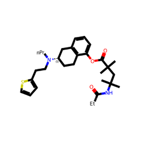 CCCN(CCc1cccs1)[C@H]1CCc2c(cccc2OC(=O)C(C)(C)CC(C)(C)NC(=O)CC)C1